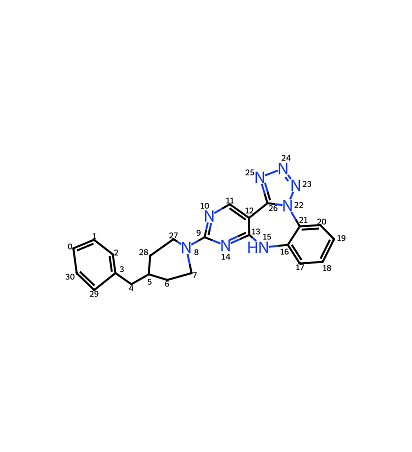 c1ccc(CC2CCN(c3ncc4c(n3)Nc3ccccc3-n3nnnc3-4)CC2)cc1